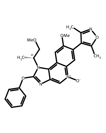 COC[C@@H](C)n1c(Oc2ccccc2)nc2c[n+]([O-])c3cc(-c4c(C)noc4C)c(OC)cc3c21